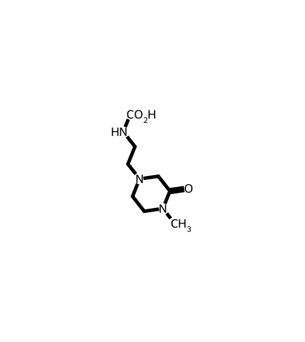 CN1CCN(CCNC(=O)O)CC1=O